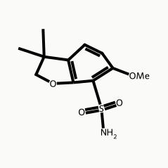 COc1ccc2c(c1S(N)(=O)=O)OCC2(C)C